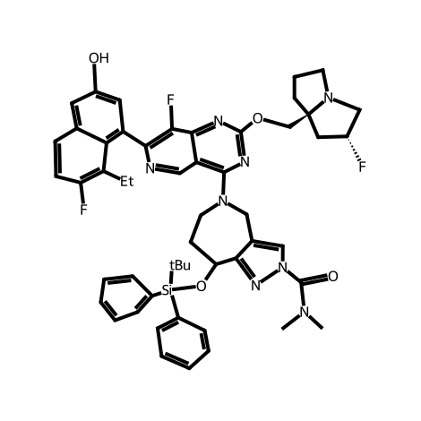 CCc1c(F)ccc2cc(O)cc(-c3ncc4c(N5CCC(O[Si](c6ccccc6)(c6ccccc6)C(C)(C)C)c6nn(C(=O)N(C)C)cc6C5)nc(OC[C@@]56CCCN5C[C@H](F)C6)nc4c3F)c12